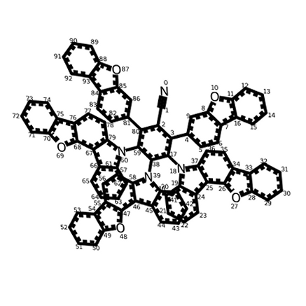 N#Cc1c(-c2ccc3c(c2)oc2ccccc23)c(-n2c3ccccc3c3c4oc5ccccc5c4ccc32)c(-n2c3ccccc3c3c4oc5ccccc5c4ccc32)c(-n2c3ccccc3c3c4oc5ccccc5c4ccc32)c1-c1ccc2c(c1)oc1ccccc12